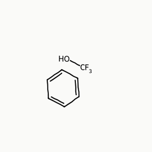 OC(F)(F)F.c1ccccc1